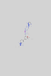 Cc1nc2ccc(-c3cc(C)c4c(c3)CN(C(=O)N3CCN(c5ncccn5)CC3)CCO4)cc2[nH]1